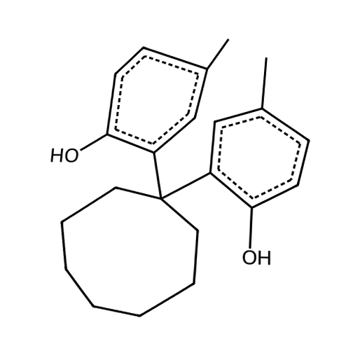 Cc1ccc(O)c(C2(c3cc(C)ccc3O)CCCCCCC2)c1